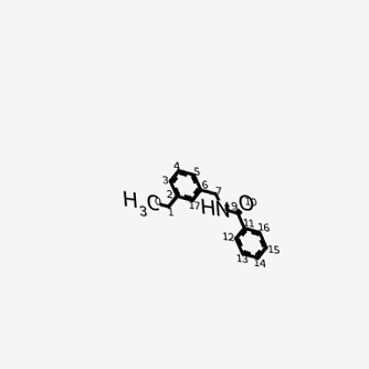 CCc1cccc(CNC(=O)c2ccccc2)c1